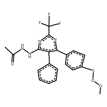 COOSc1ccc(-c2nc(C(F)(F)F)nc(NNC(C)=O)c2-c2ccccc2)cc1